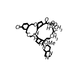 CO[C@@]1(CN2CCc3ncncc3C2)/C=C/C[C@H](C)[C@@H](C)S(=O)(=O)NC(=O)c2ccc3c(c2)N(CCCCc2cc(Cl)ccc2CO3)C[C@@H]2CC[C@H]21